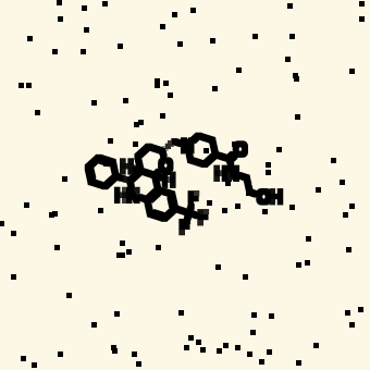 O=C(NCCO)C1CCN(C[C@H]2CC[C@@H]3[C@H](O2)c2cc(C(F)(F)F)ccc2N[C@H]3C2C=CC=CC2)CC1